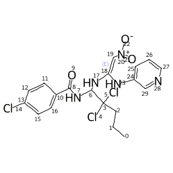 CCCC(Cl)(Cl)C(NC(=O)c1ccc(Cl)cc1)N/C(=C/[N+](=O)[O-])Nc1cccnc1